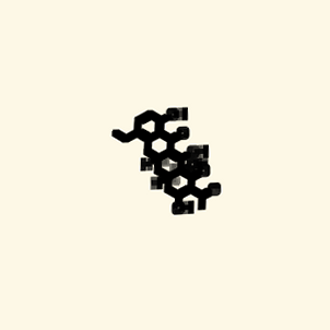 CCc1ccc(O)c2c1C[C@H]1C[C@H]3CC(O)=C(C(C)=O)C(=O)[C@@]3(O)C(O)=C1C2=O